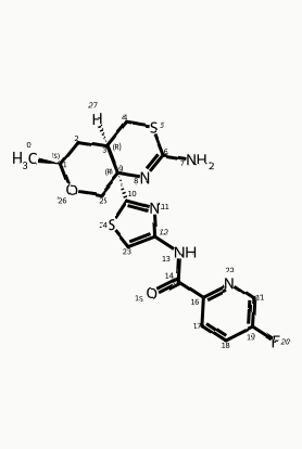 C[C@H]1C[C@H]2CSC(N)=N[C@@]2(c2nc(NC(=O)c3ccc(F)cn3)cs2)CO1